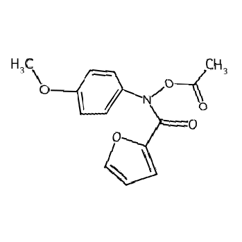 COc1ccc(N(OC(C)=O)C(=O)c2ccco2)cc1